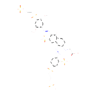 COc1cc(S(=O)(=O)CCOS(=O)(=O)O)c(OC)cc1/N=N/c1c(S(=O)(=O)O)cc2c(/N=N/c3ccc(S(=O)(=O)CCOS(=O)(=O)O)cc3S(=O)(=O)O)c(NCC(=O)O)ccc2c1O